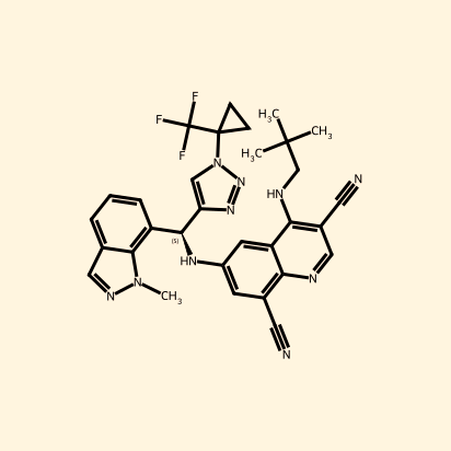 Cn1ncc2cccc([C@H](Nc3cc(C#N)c4ncc(C#N)c(NCC(C)(C)C)c4c3)c3cn(C4(C(F)(F)F)CC4)nn3)c21